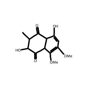 COC1=C(OC)C2C(=O)C(O)C(C)C(=O)C2C(O)=C1